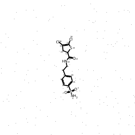 NS(=O)(=O)c1ccc(CCNC(=O)C2CC(Cl)=C(Cl)S2)cc1